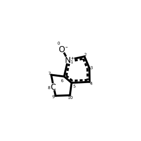 [O-][n+]1cccc2c1CCCC2